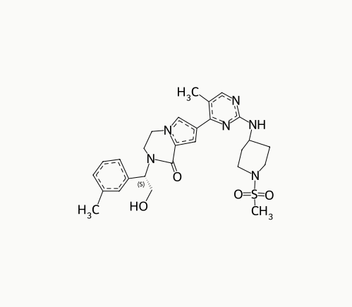 Cc1cccc([C@@H](CO)N2CCn3cc(-c4nc(NC5CCN(S(C)(=O)=O)CC5)ncc4C)cc3C2=O)c1